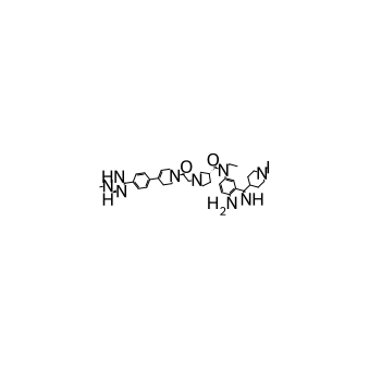 CCN(C(=O)[C@@H]1CCN(CC(=O)N2CC=C(c3ccc(C(=N)/N=C\NC)cc3)CC2)C1)c1ccc(N)c(C(=N)C2CCN(I)CC2)c1